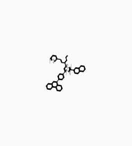 C=C/C=C(\C=C\c1cccnc1)c1cc(-c2ccc(-c3cc4ccccc4c4ccccc34)cc2)nc(-c2ccc3ccccc3c2)n1